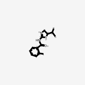 Cc1ccccc1C(=O)NC1=NCC(C(C)C)S1